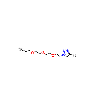 CCC1=[N+]=[N+]=[N+](CCOCCOCCOCCC(C)(C)C)C1